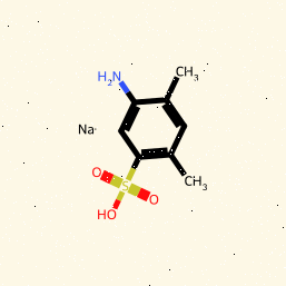 Cc1cc(C)c(S(=O)(=O)O)cc1N.[Na]